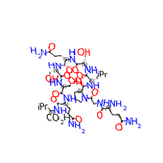 CC(C)C[C@H](NC(=O)[C@@H]1CCCN1C(=O)CNC(=O)[C@@H](N)CCC(N)=O)C(=O)N[C@@H](CO)C(=O)N[C@@H](CCC(N)=O)C(=O)N[C@@H](CO)C(=O)N[C@@H](CO)C(=O)N[C@@H](CCC(N)=O)C(=O)N[C@H](C(=O)O)C(C)C